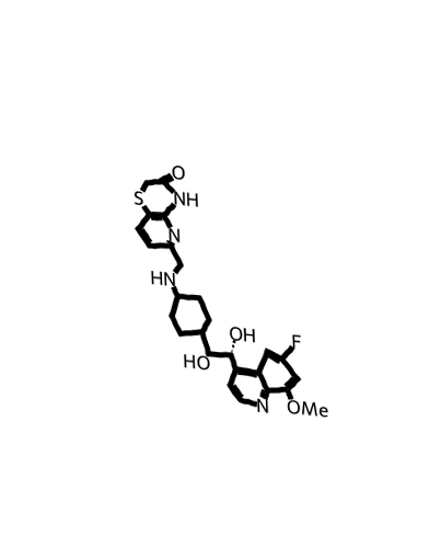 COc1cc(F)cc2c([C@@H](O)[C@H](O)C3CCC(NCc4ccc5c(n4)NC(=O)CS5)CC3)ccnc12